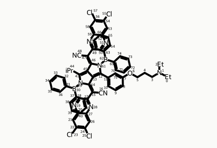 CCN(CC)CCCOc1cccc(-c2c3/c(=C(\C#N)c4cnc5cc(Cl)c(Cl)cc5n4)n(B(c4ccccc4)c4ccccc4)c(C(C)C)c3/c(=C(\C#N)c3cnc4cc(Cl)c(Cl)cc4n3)n2B(c2ccccc2)c2ccccc2)c1